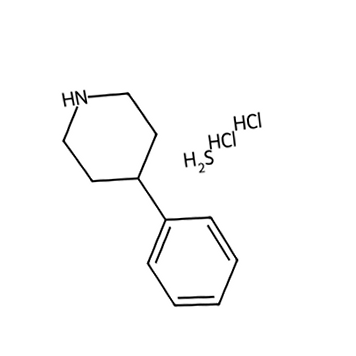 Cl.Cl.S.c1ccc(C2CCNCC2)cc1